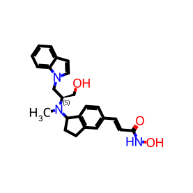 CN(C1CCc2cc(C=CC(=O)NO)ccc21)[C@H](CO)Cn1ccc2ccccc21